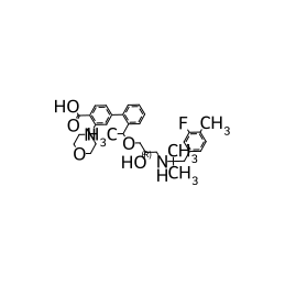 Cc1ccc(CC(C)(C)NC[C@@H](O)COC(C)c2ccccc2-c2ccc(C(=O)O)c(N3CCOCC3)c2)cc1F